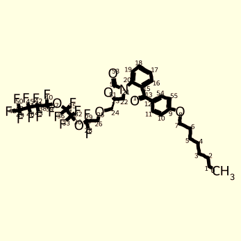 CCCCCCCCOc1ccc(C(=O)c2ccccc2N2C[C@@H](COCC(F)(F)OC(F)(F)C(F)(F)OC(F)(F)C(F)(F)C(F)(F)C(F)(F)F)OC2=O)cc1